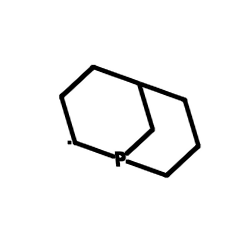 [CH]1CCC2CCCP1C2